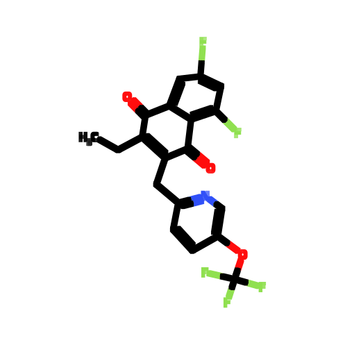 CCC1=C(Cc2ccc(OC(F)(F)F)cn2)C(=O)c2c(F)cc(F)cc2C1=O